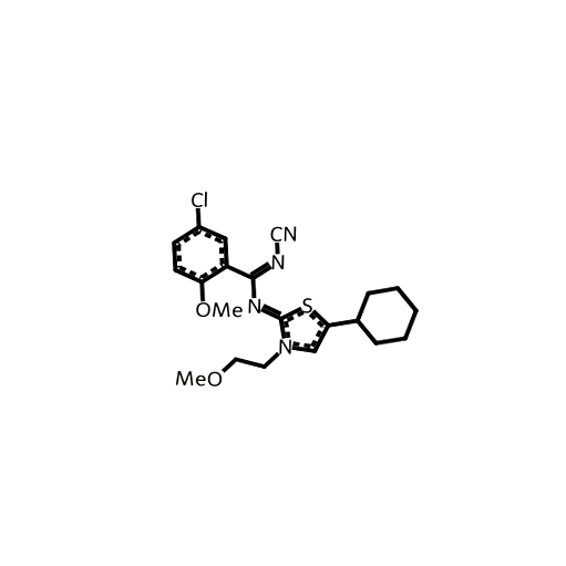 COCCn1cc(C2CCCCC2)sc1=NC(=NC#N)c1cc(Cl)ccc1OC